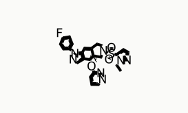 CCn1nccc1S(=O)(=O)N1CCC2=Cc3c(cnn3-c3ccc(F)cc3)C[C@]2(COc2cccnn2)C1